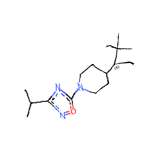 CC(C)c1noc(N2CCC([C@H](C)C(C)(C)C)CC2)n1